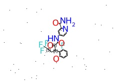 COc1cccc(F)c1[C@H]1C[C@@](C)(C(F)(F)F)O[C@H]1C(=O)Nc1ccnc(C(N)=O)c1